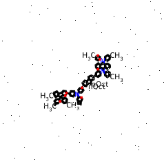 CCCCCCCCC1(CCCCCCCC)c2cc(-c3ccc(N(c4ccc(-c5ccc6c(c5)C(c5ccc(C)cc5)(c5ccc(C)cc5)c5cc(C)ccc5-6)cc4)c4ccc5c(c4)CC5)cc3)ccc2-c2ccc(-c3ccc(N(c4ccc(C)cc4)c4c5ccccc5c(N(c5ccc(C)cc5)c5ccc(C)cc5)c5ccccc45)cc3)cc21